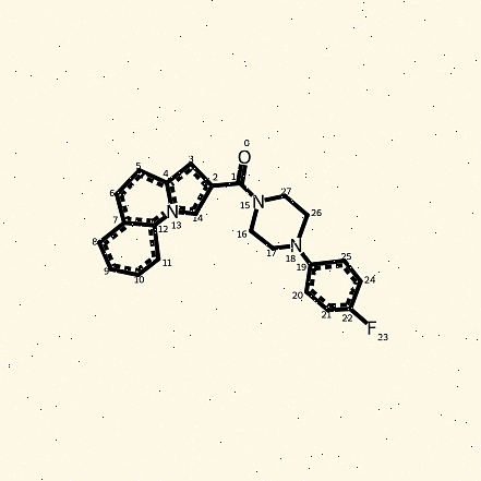 O=C(c1cc2ccc3ccccc3n2c1)N1CCN(c2ccc(F)cc2)CC1